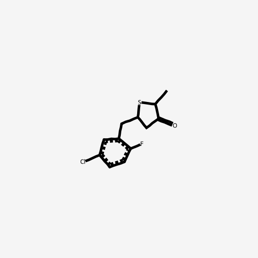 CC1SC(Cc2cc(Cl)ccc2F)CC1=O